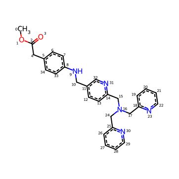 COC(=O)Cc1ccc(NCc2ccc(CN(Cc3ccccn3)Cc3ccccn3)nc2)cc1